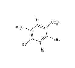 CCCCc1c(CC)c(CC)c(C(=O)O)c(C)c1C(=O)O